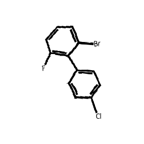 Fc1cccc(Br)c1-c1[c]cc(Cl)cc1